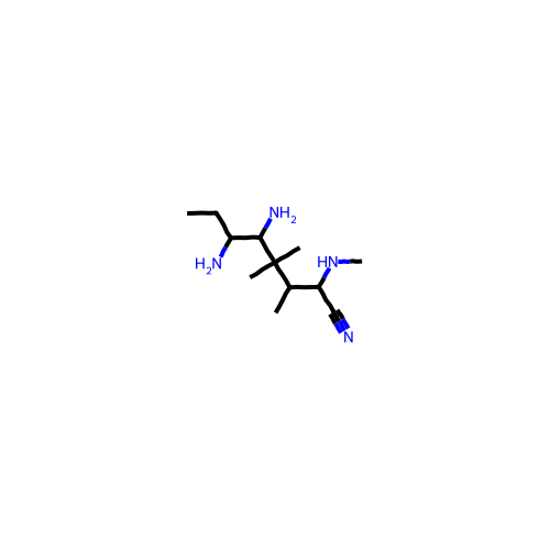 CCC(N)C(N)C(C)(C)C(C)C(C#N)NC